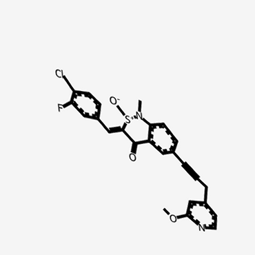 COc1cc(CC#Cc2ccc3c(c2)C(=O)/C(=C/c2ccc(Cl)c(F)c2)[S+]([O-])N3C)ccn1